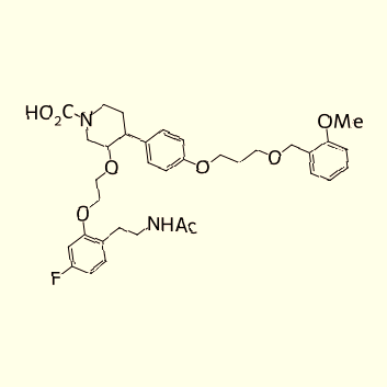 COc1ccccc1COCCCOc1ccc(C2CCN(C(=O)O)CC2OCCOc2cc(F)ccc2CCNC(C)=O)cc1